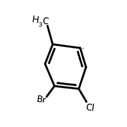 Cc1[c]cc(Cl)c(Br)c1